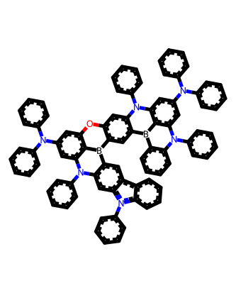 c1ccc(N(c2ccccc2)c2cc3c4c(c2)N(c2ccccc2)c2cc5c(cc2B4c2cc4c(cc2O3)N(c2ccccc2)c2cc(N(c3ccccc3)c3ccccc3)cc3c2B4c2ccccc2N3c2ccccc2)c2ccccc2n5-c2ccccc2)cc1